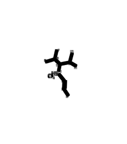 CC=C[SiH](Cl)C(C(C)C)C(C)C